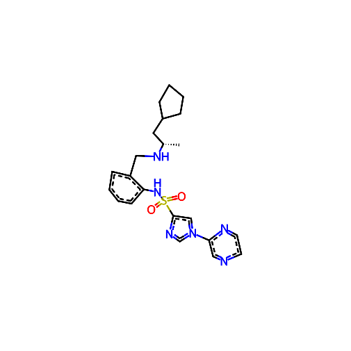 C[C@@H](CC1CCCC1)NCc1ccccc1NS(=O)(=O)c1cn(-c2cnccn2)cn1